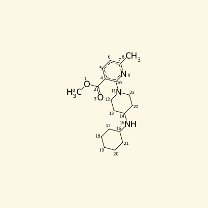 COC(=O)c1ccc(C)nc1N1CCC(NC2CCCCC2)CC1